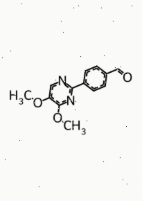 COc1cnc(-c2ccc(C=O)cc2)nc1OC